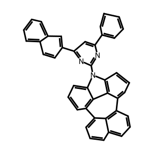 c1ccc(-c2cc(-c3ccc4ccccc4c3)nc(-n3c4cccc5c4c4c(cccc43)-c3cccc4cccc-5c34)n2)cc1